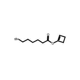 CC(C)(C)CCCCCC(=O)OC1=CCC1